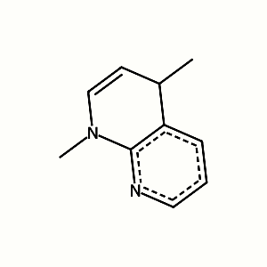 CC1C=CN(C)c2ncccc21